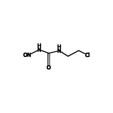 O=NNC(=O)NCCCl